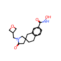 O=C(NO)c1ccc2c(c1)CC1(CC2)CC(=O)N(CC2COC2)C1